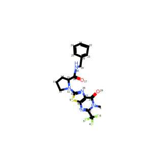 Cn1c(C(F)(F)F)nc2sc(N3CCCC3C(=O)NCc3ccccc3)nc2c1=O